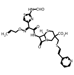 C=CCON=C(C(=O)NC1C(=O)N2CC(CSC=Cc3cccnc3)(C(=O)O)CS[C@H]12)c1csc(NC=O)n1